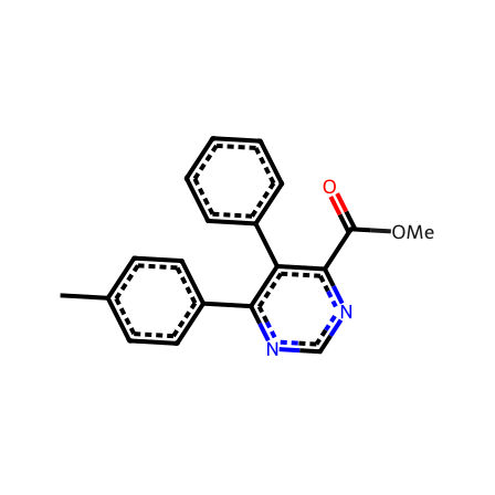 COC(=O)c1ncnc(-c2ccc(C)cc2)c1-c1ccccc1